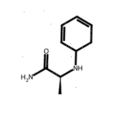 C[C@H](NC1C=CC=CC1)C(N)=O